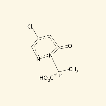 C[C@H](C(=O)O)n1ncc(Cl)cc1=O